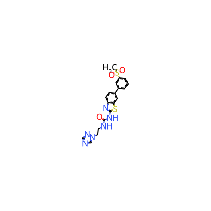 CS(=O)(=O)c1cccc(-c2ccc3nc(NC(=O)NCCn4cncn4)sc3c2)c1